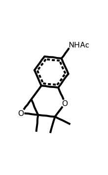 CC(=O)Nc1ccc2c(c1)OC(C)(C)C1(C)OC21